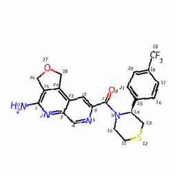 Nc1nc2cnc(C(=O)N3CCSC[C@@H]3c3ccc(C(F)(F)F)cc3)cc2c2c1COC2